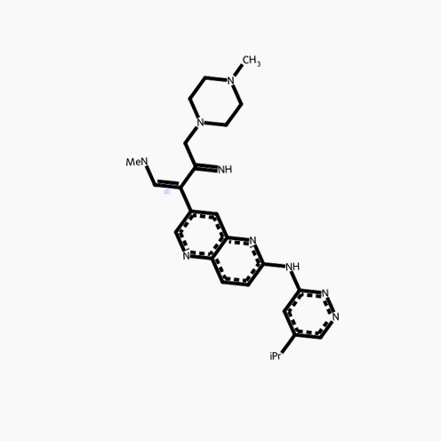 CN/C=C(\C(=N)CN1CCN(C)CC1)c1cnc2ccc(Nc3cc(C(C)C)cnn3)nc2c1